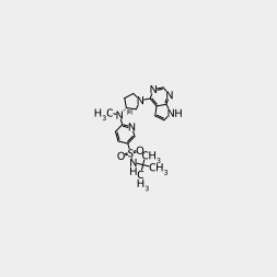 CN(c1ccc(S(=O)(=O)NC(C)(C)C)cn1)[C@@H]1CCN(c2ncnc3[nH]ccc23)C1